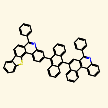 c1ccc(-c2nc3ccccc3c3c2cc(-c2c4ccccc4c(-c4ccc5c(c4)nc(-c4ccccc4)c4ccc6c7ccccc7sc6c45)c4ccccc24)c2ccccc23)cc1